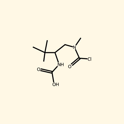 CN(CC(NC(=O)O)C(C)(C)C)C(=O)Cl